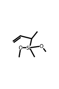 C=CC(C)[Si](C)(OC)OC